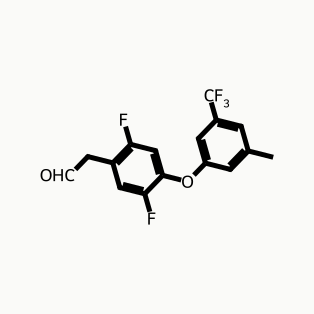 Cc1cc(Oc2cc(F)c(CC=O)cc2F)cc(C(F)(F)F)c1